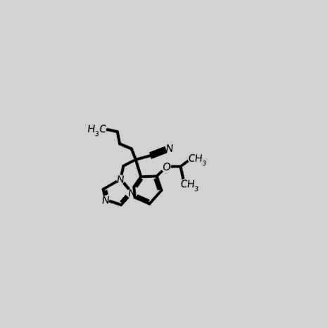 CCCCC(C#N)(Cn1cncn1)c1ccccc1OC(C)C